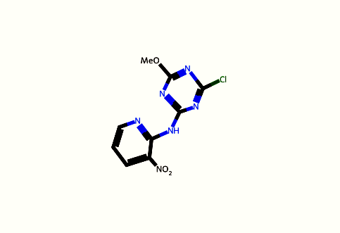 COc1nc(Cl)nc(Nc2ncccc2[N+](=O)[O-])n1